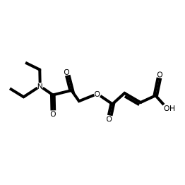 CCN(CC)C(=O)C(=O)COC(=O)/C=C/C(=O)O